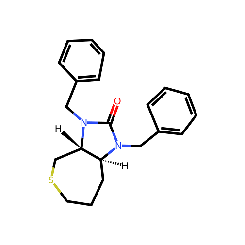 O=C1N(Cc2ccccc2)[C@H]2CCCSC[C@@H]2N1Cc1ccccc1